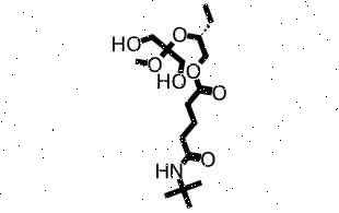 CC[C@H](COC(=O)CCCC(=O)NC(C)(C)C)OC(CO)(CO)OC